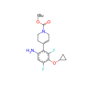 CC(C)(C)OC(=O)N1CC=C(c2c(N)cc(F)c(OC3CC3)c2F)CC1